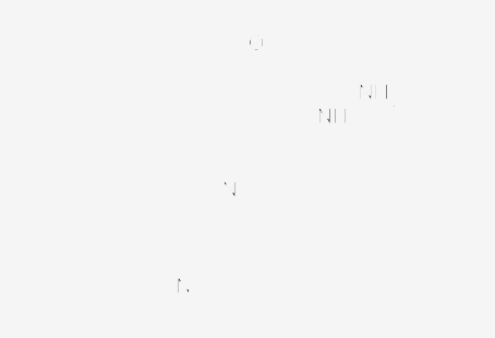 CCc1cc2cccnc2nc1C(=O)NN